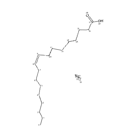 CCCCCCCC/C=C\CCCCCCCC(=O)O.[Cl-].[Na+]